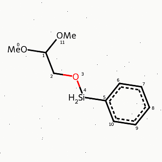 COC(CO[SiH2]c1ccccc1)OC